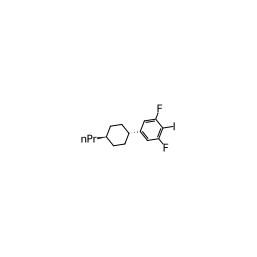 CCC[C@H]1CC[C@H](c2cc(F)c(I)c(F)c2)CC1